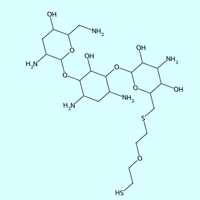 NCC1OC(OC2C(N)CC(N)C(OC3OC(CSCCOCCS)C(O)C(N)C3O)C2O)C(N)CC1O